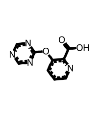 O=C(O)c1ncccc1Oc1ncncn1